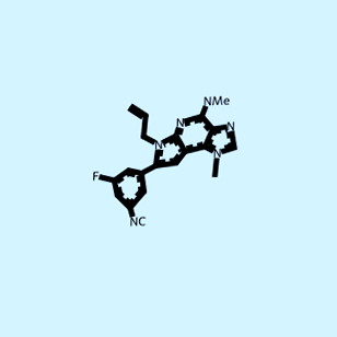 [C-]#[N+]c1cc(F)cc(-c2cc3c4c(ncn4C)c(NC)nc3n2CC=C)c1